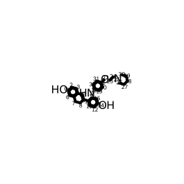 Oc1ccc2c(c1)CCC(c1ccc(O)cc1Nc1ccc(OCCN3CCCCC3)cc1)=C2